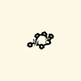 c1ccc(-c2nc3nc(n2)-c2cccc(c2)-c2ccc4c5ccccc5n(c4c2)-c2cccc(c2)-c2cccc-3c2)cc1